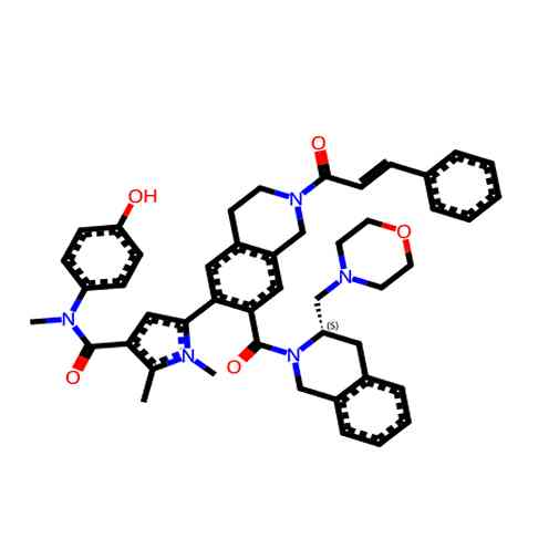 Cc1c(C(=O)N(C)c2ccc(O)cc2)cc(-c2cc3c(cc2C(=O)N2Cc4ccccc4C[C@H]2CN2CCOCC2)CN(C(=O)C=Cc2ccccc2)CC3)n1C